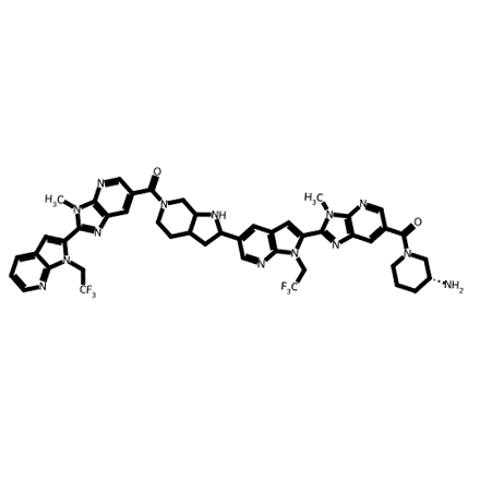 Cn1c(-c2cc3cccnc3n2CC(F)(F)F)nc2cc(C(=O)N3CCC4CC(c5cnc6c(c5)cc(-c5nc7cc(C(=O)N8CCC[C@@H](N)C8)cnc7n5C)n6CC(F)(F)F)NC4C3)cnc21